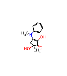 CN(C1=C(O)C(=O)C(C)(O)C1)c1ccccc1